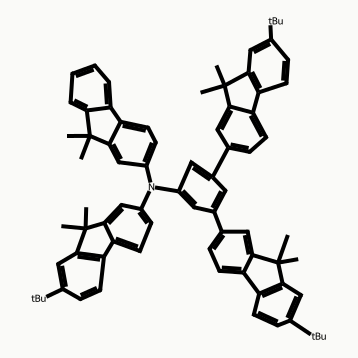 CC(C)(C)c1ccc2c(c1)C(C)(C)c1cc(-c3cc(-c4ccc5c(c4)C(C)(C)c4cc(C(C)(C)C)ccc4-5)cc(N(c4ccc5c(c4)C(C)(C)c4ccccc4-5)c4ccc5c(c4)C(C)(C)c4cc(C(C)(C)C)ccc4-5)c3)ccc1-2